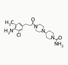 Cc1cc(C[CH]C(=O)N2CCN(C3CCN(C(N)=O)CC3)CC2)cc(Cl)c1N